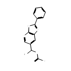 CC(C)C(OC(N)=O)c1cnc2[nH]c(-c3ccccc3)nc2c1